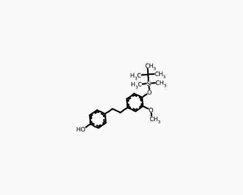 COc1cc(CCc2ccc(O)cc2)ccc1O[Si](C)(C)C(C)(C)C